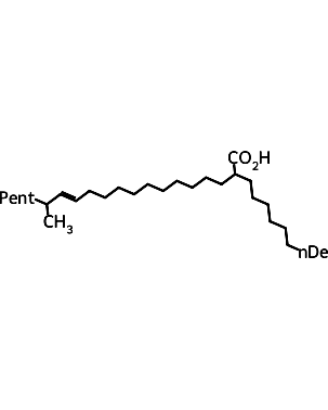 CCCCCCCCCCCCCCCCC(CCCCCCCCCCC=CC(C)CCCCC)C(=O)O